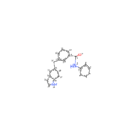 O=C(Nc1ccccc1)c1cccc(Cc2ccc3[nH]ccc3c2)c1